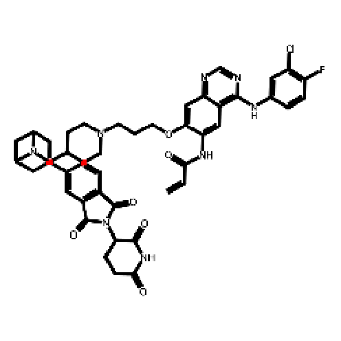 C=CC(=O)Nc1cc2c(Nc3ccc(F)c(Cl)c3)ncnc2cc1OCCCN1CCC(CN2C3CC2CN(c2ccc4c(c2)C(=O)N(C2CCC(=O)NC2=O)C4=O)C3)CC1